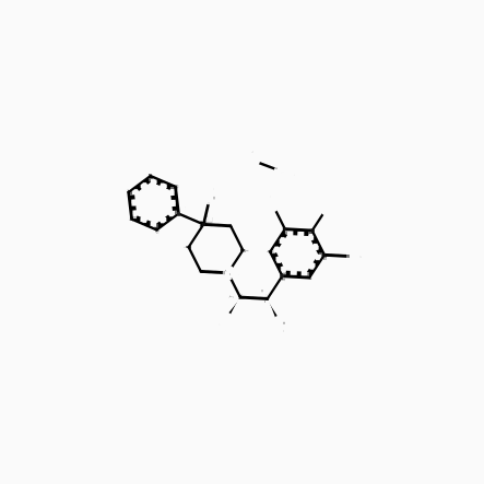 CS(=O)(=O)O.C[C@H]([C@H](O)c1cc(F)c(O)c(F)c1)N1CCC(O)(c2ccccc2)CC1